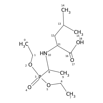 CCOP(=O)(OCC)C(C)NC(CC(C)C)C(=O)O